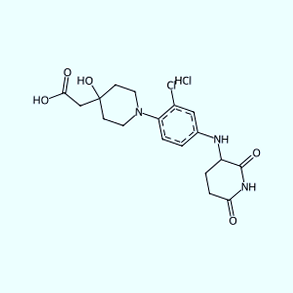 Cl.O=C(O)CC1(O)CCN(c2ccc(NC3CCC(=O)NC3=O)cc2Cl)CC1